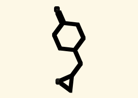 O=C1CCC(CC2CO2)CC1